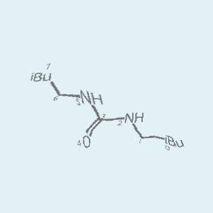 CCC(C)CNC(=O)NCC(C)CC